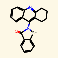 O=c1c2ccccc2[se]n1-c1c2c(nc3ccccc13)CCCC2